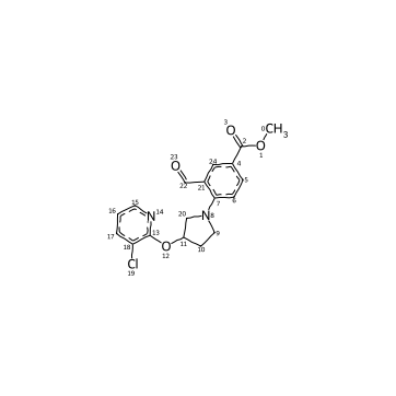 COC(=O)c1ccc(N2CCC(Oc3ncccc3Cl)C2)c(C=O)c1